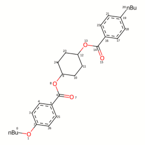 CCCCOc1ccc(C(=O)OC2CCC(OC(=O)c3ccc(CCCC)cc3)CC2)cc1